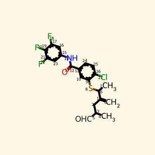 C=C(CC(C)C=O)C(C)Sc1cc(C(=O)Nc2cc(F)c(F)c(F)c2)ccc1Cl